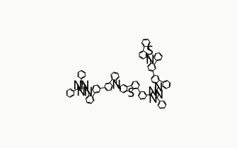 c1ccc(-c2nc(-c3ccccc3)nc(-n3c4ccccc4c4cc(-c5ccc6c(c5)c5ccccc5n6-c5ccc6sc7c(-c8cccc(-c9nc(-c%10ccccc%10)nc(-n%10c%11ccccc%11c%11cc(-c%12ccc%13c(c%12)c%12ccccc%12n%13-c%12cccc%13c%12sc%12ccccc%12%13)ccc%11%10)n9)c8)cccc7c6c5)ccc43)n2)cc1